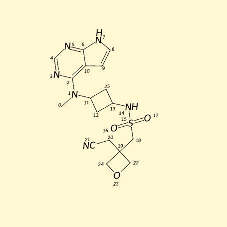 CN(c1ncnc2[nH]ccc12)C1CC(NS(=O)(=O)CC2(CC#N)COC2)C1